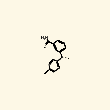 Cc1ccc([C@@H](C)c2cccc(C(N)=O)c2)cc1